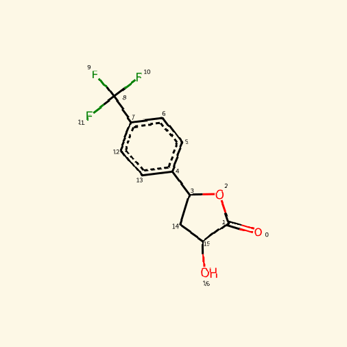 O=C1OC(c2ccc(C(F)(F)F)cc2)CC1O